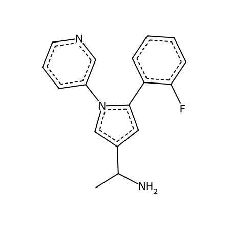 CC(N)c1cc(-c2ccccc2F)n(-c2cccnc2)c1